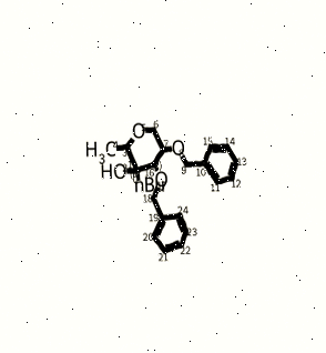 CCCC[C@@]1(O)C(C)OCC(OCc2ccccc2)[C@H]1OCc1ccccc1